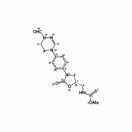 COC(=S)NC[C@H]1CN(c2ccc(N3C=NN(C=O)CC3)cc2)C(=O)O1